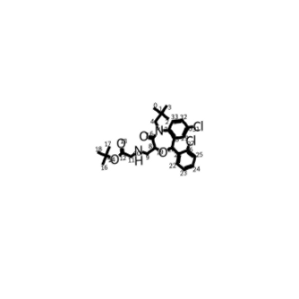 CC(C)(C)CN1C(=O)C(CNCC(=O)OC(C)(C)C)OC(c2ccccc2Cl)c2cc(Cl)ccc21